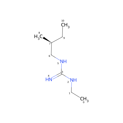 CCNC(=N)NC[C@@H](C)CC